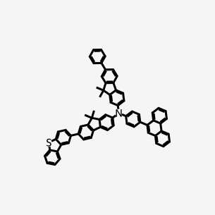 CC1(C)c2cc(-c3ccccc3)ccc2-c2ccc(N(c3ccc(-c4cc5ccccc5c5ccccc45)cc3)c3ccc4c(c3)C(C)(C)c3cc(-c5ccc6sc7ccccc7c6c5)ccc3-4)cc21